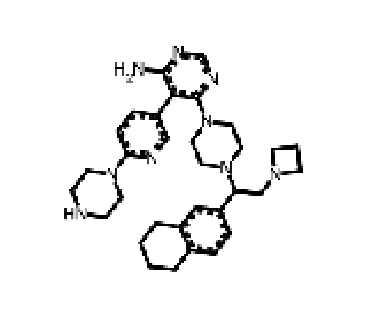 Nc1ncnc(N2CCN(C(CN3CCC3)c3ccc4c(c3)CCCC4)CC2)c1-c1ccc(N2CCNCC2)nc1